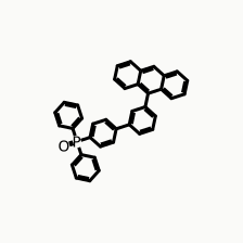 O=P(c1ccccc1)(c1ccccc1)c1ccc(-c2cccc(-c3c4ccccc4cc4ccccc34)c2)cc1